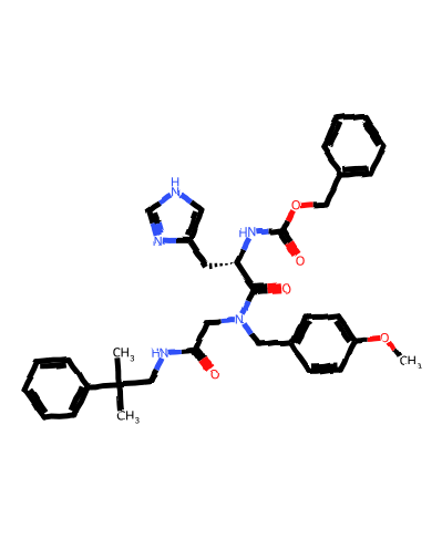 COc1ccc(CN(CC(=O)NCC(C)(C)c2ccccc2)C(=O)[C@H](Cc2c[nH]cn2)NC(=O)OCc2ccccc2)cc1